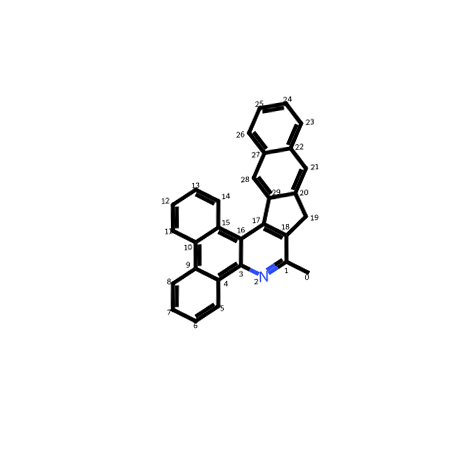 Cc1nc2c3ccccc3c3ccccc3c2c2c1Cc1cc3ccccc3cc1-2